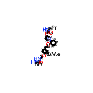 CCCNC(=O)NCCOc1ccc(CCOC2CCCCC2N2CC[C@@H](OC(=O)NCCC)C2)cc1OC